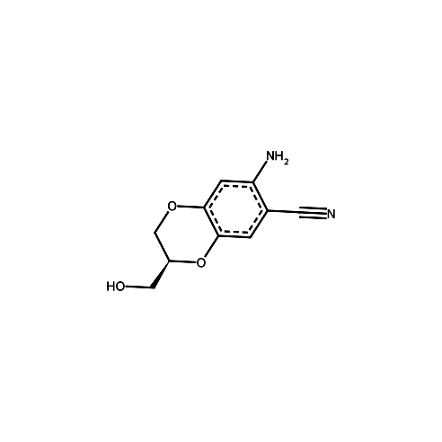 N#Cc1cc2c(cc1N)OC[C@H](CO)O2